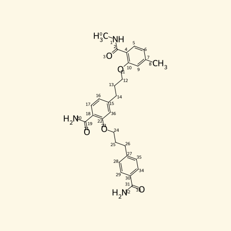 CNC(=O)c1ccc(C)cc1OCCCc1ccc(C(N)=O)c(OCCCc2ccc(C(N)=O)cc2)c1